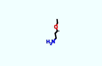 CCO[CH]CCN